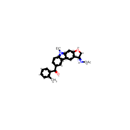 CCn1c2ccc(C(=O)c3ccccc3C)cc2c2cc3c(cc21)OC/C3=N\OC(C)=O